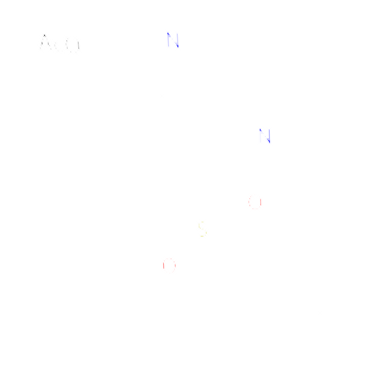 CC(=O)OCc1nccnc1CS(=O)(=O)c1ccccc1